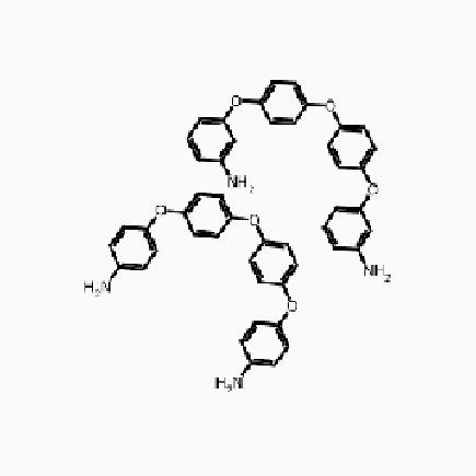 Nc1ccc(Oc2ccc(Oc3ccc(Oc4ccc(N)cc4)cc3)cc2)cc1.Nc1cccc(Oc2ccc(Oc3ccc(Oc4cccc(N)c4)cc3)cc2)c1